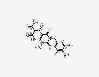 Cn1c2c(c(=O)n(Cc3cc(F)c(O)c(F)c3)c1=O)[S+]([O-])C(C(=O)O)C(=O)N2